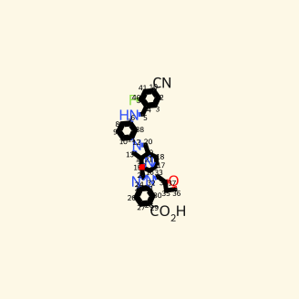 N#Cc1ccc(CNc2cccc(N3CC4CCC5CC4(C3)N5Cc3nc4ccc(C(=O)O)cc4n3CC3CCO3)c2)c(F)c1